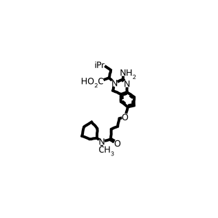 CC(C)CC(C(=O)O)N1Cc2cc(OCCCC(=O)N(C)C3CCCCC3)ccc2N=C1N